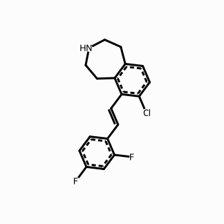 Fc1ccc(/C=C/c2c(Cl)ccc3c2CCNCC3)c(F)c1